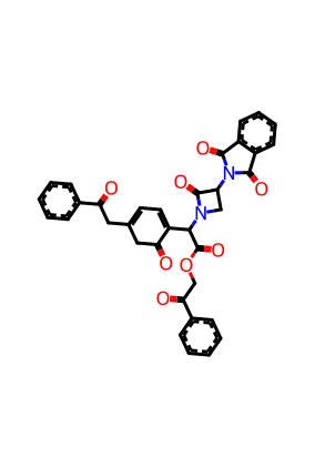 O=C1CC(CC(=O)c2ccccc2)=CC=C1C(C(=O)OCC(=O)c1ccccc1)N1CC(N2C(=O)c3ccccc3C2=O)C1=O